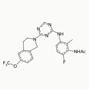 CC(=O)Nc1c(F)ccc(Nc2ncnc(N3CCc4cc(OC(F)(F)F)ccc4C3)n2)c1C